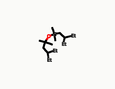 CCC(CC)CC(C)(C)O[Si](C)(C)CC(CC)CC